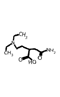 CCN(CC)CCC(CC(N)=O)C(=O)O